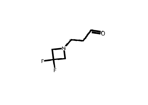 O=CC[CH]N1CC(F)(F)C1